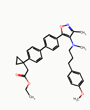 CCOC(=O)CC1(c2ccc(-c3ccc(-c4onc(C)c4N(C)CCCc4ccc(OC)cc4)cc3)cc2)CC1